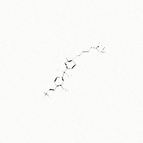 CCC(CC)(c1ccc(/C=C/C(O)(C(F)(F)F)C(F)(F)F)c(C)c1)c1ccc(OCCCCc2nnn[nH]2)c(C)c1